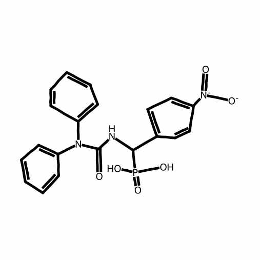 O=C(NC(c1ccc([N+](=O)[O-])cc1)P(=O)(O)O)N(c1ccccc1)c1ccccc1